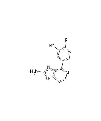 Nc1nc2ccnc(-c3ccc(F)c(Br)c3)n2n1